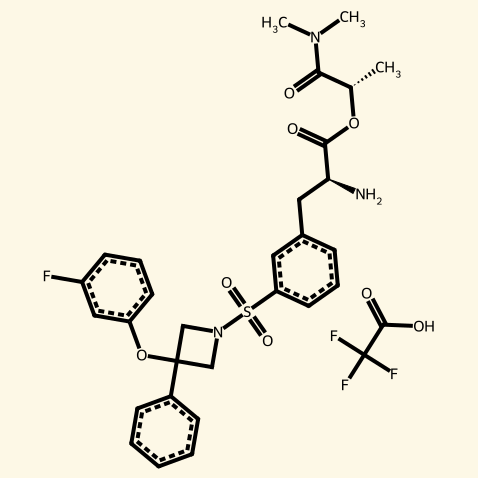 C[C@H](OC(=O)[C@@H](N)Cc1cccc(S(=O)(=O)N2CC(Oc3cccc(F)c3)(c3ccccc3)C2)c1)C(=O)N(C)C.O=C(O)C(F)(F)F